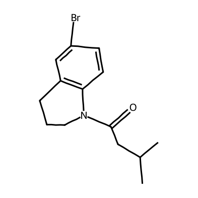 CC(C)CC(=O)N1CCCc2cc(Br)ccc21